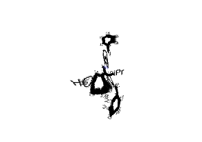 CC(C)c1c(/C=N/OCc2ccccc2)c2cc(O)ccc2n1Cc1ccccc1